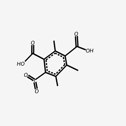 Cc1c(C)c(I(=O)=O)c(C(=O)O)c(C)c1C(=O)O